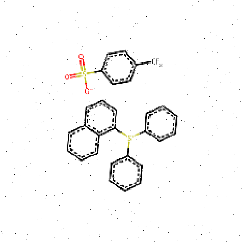 O=S(=O)([O-])c1ccc(C(F)(F)F)cc1.c1ccc([S+](c2ccccc2)c2cccc3ccccc23)cc1